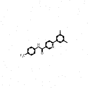 Cc1cc(C)cc(-c2ccc(C(=O)Nc3ccc(C(F)(F)F)cc3)cn2)c1